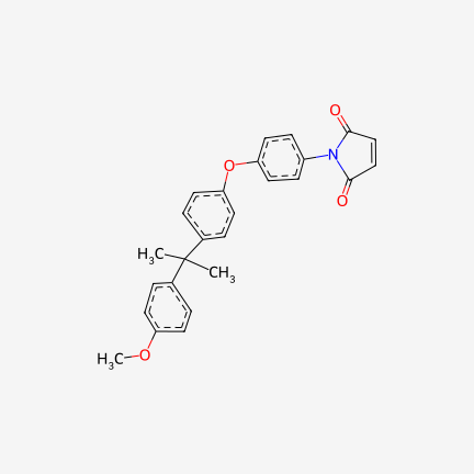 COc1ccc(C(C)(C)c2ccc(Oc3ccc(N4C(=O)C=CC4=O)cc3)cc2)cc1